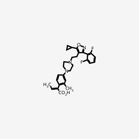 C/C=C(/C(=O)O)c1ccc(N2CCN(CCc3c(-c4c(F)cccc4F)noc3C3CC3)CC2)cc1C